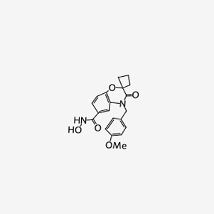 COc1ccc(CN2C(=O)C3(CCC3)Oc3ccc(C(=O)NO)cc32)cc1